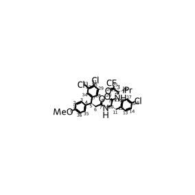 COc1ccc([C@H](CC(=O)N[C@@H](Cc2ccc(Cl)cc2)C(=O)N[C@H](C(=O)C(F)(F)F)C(C)C)c2ccc(Cl)c(Cl)c2)cc1